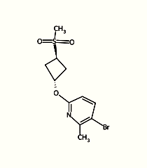 Cc1nc(O[C@H]2C[C@H](S(C)(=O)=O)C2)ccc1Br